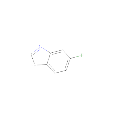 Fc1ccc2[se]cnc2c1